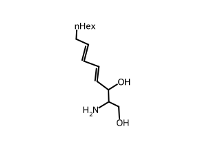 CCCCCCC/C=C/C=C/C(O)C(N)CO